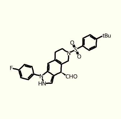 CC(C)(C)c1ccc(S(=O)(=O)N2CCC3=C(C2)[C@@H](C=O)C2=CNN(c4ccc(F)cc4)C2=C3)cc1